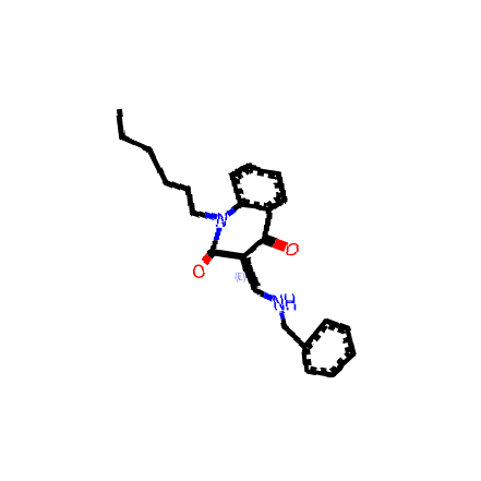 CCCCCCN1C(=O)/C(=C/NCc2ccccc2)C(=O)c2ccccc21